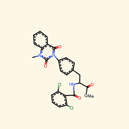 COC(=O)C(Cc1ccc(-n2c(=O)c3ccccc3n(C)c2=O)cc1)NC(=O)c1c(Cl)cccc1Cl